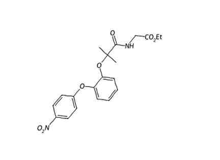 CCOC(=O)CNC(=O)C(C)(C)Oc1ccccc1Oc1ccc([N+](=O)[O-])cc1